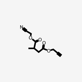 C#CCOC(=O)CC(C)C(=O)OCC#N